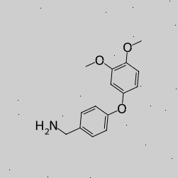 COc1ccc(Oc2ccc(CN)cc2)cc1OC